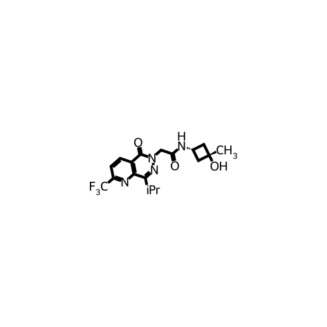 CC(C)c1nn(CC(=O)N[C@H]2C[C@@](C)(O)C2)c(=O)c2ccc(C(F)(F)F)nc12